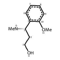 CN[C@@H](CCO)c1ccccc1OC